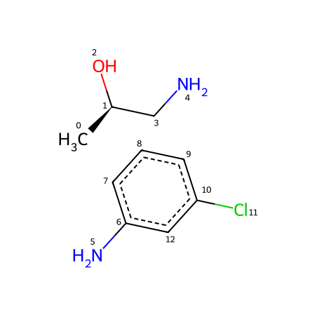 C[C@@H](O)CN.Nc1cccc(Cl)c1